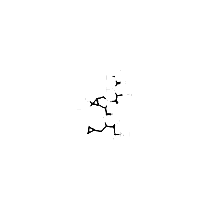 CC(C)(C)NC(=O)NC(C(=O)N1C[C@H]2C(C1C(=O)NC(CC1CC1)C(=O)C(N)=O)C2(C)C)C(C)(C)C